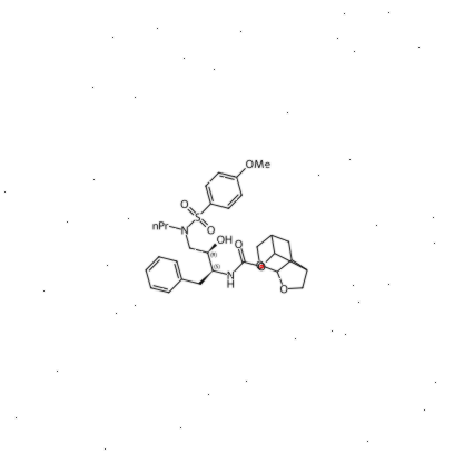 CCCN(C[C@@H](O)[C@H](Cc1ccccc1)NC(=O)OC1C2COC3OCC1C3C2)S(=O)(=O)c1ccc(OC)cc1